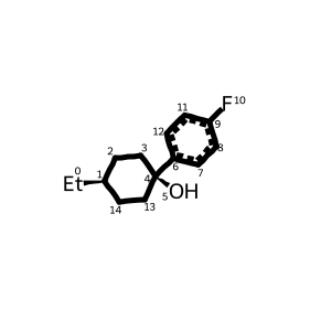 CC[C@H]1CC[C@](O)(c2ccc(F)cc2)CC1